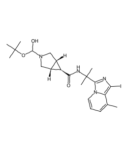 Cc1cccn2c(C(C)(C)NC(=O)[C@H]3[C@@H]4CN(C(O)OC(C)(C)C)C[C@@H]43)nc(I)c12